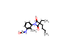 CCCCC1(CC)C(=O)N(c2cccc(N=C=O)c2C)C1=O